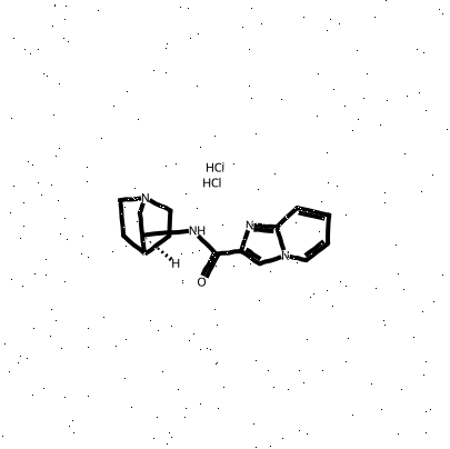 Cl.Cl.O=C(N[C@@H]1CN2CCC1CC2)c1cn2ccccc2n1